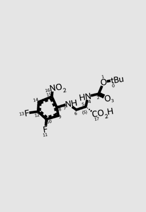 CC(C)(C)OC(=O)N[C@@H](CNc1cc(F)c(F)cc1[N+](=O)[O-])C(=O)O